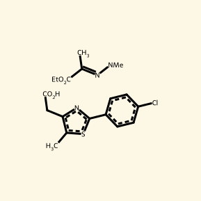 CCOC(=O)/C(C)=N/NC.Cc1sc(-c2ccc(Cl)cc2)nc1CC(=O)O